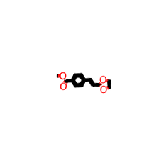 COC(=O)c1ccc(C=CC2OCCO2)cc1